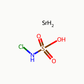 O=S(=O)(O)NCl.[SrH2]